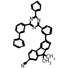 CC1(C)c2ccc(-c3cccc(-c4nc(-c5ccccc5)nc(-c5cccc(-c6ccccc6)c5)n4)c3)cc2-c2ccc(C#N)cc21